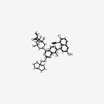 C#Cc1c(F)ccc2cc(O)cc(-c3ncc4c(N5C[C@@H]6CC(C)(C)[C@H](C5)N6C(=O)C=C)nc(OCC56CCCN5CCC6)nc4c3F)c12